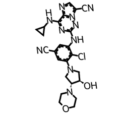 N#Cc1cc(Nc2nc(NC3CC3)c3ncc(C#N)n3n2)c(Cl)c(N2C[C@@H](O)[C@H](N3CCOCC3)C2)c1